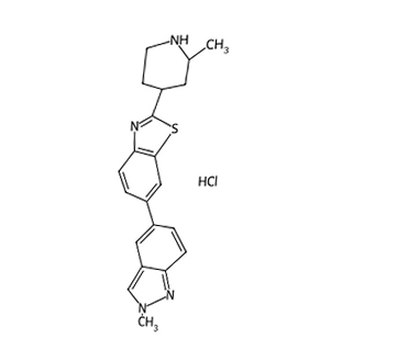 CC1CC(c2nc3ccc(-c4ccc5nn(C)cc5c4)cc3s2)CCN1.Cl